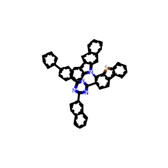 c1ccc(-c2ccc(-c3nc(-c4ccc5ccccc5c4)nc(-c4ccc5c(sc6ccccc65)c4-n4c5ccccc5c5cc6ccccc6cc54)n3)cc2)cc1